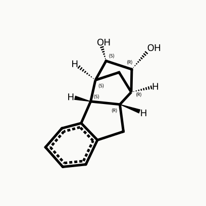 O[C@@H]1[C@H](O)[C@@H]2C[C@H]1[C@H]1c3ccccc3C[C@@H]21